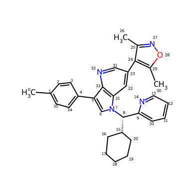 Cc1ccc(-c2cn([C@H](c3ccccn3)C3CCCCC3)c3cc(-c4c(C)noc4C)cnc23)cc1